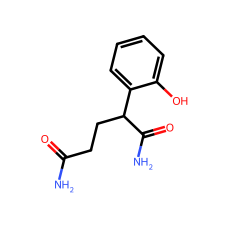 NC(=O)CCC(C(N)=O)c1ccccc1O